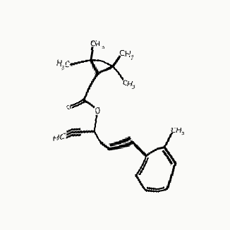 C#CC(/C=C/c1ccccc1C)OC(=O)C1C(C)(C)C1(C)C